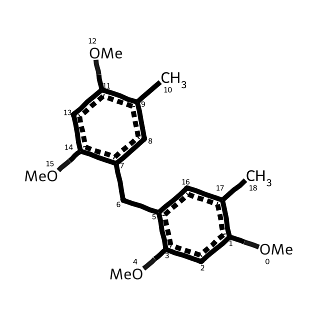 COc1cc(OC)c(Cc2cc(C)c(OC)cc2OC)cc1C